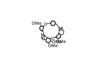 COc1ccc2cc1Oc1ccc(cc1)CC[C@H]1c3cc(c(OC)cc3CCN1C)Oc1c(OC)c(OC)cc3c1[C@H](C2)N(C)CC3